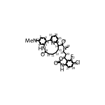 CNc1ccc2c(c1)NC(=O)CCCCC(C(=O)N(C)CCC1OC(=O)Nc3ccc(Cl)c(F)c31)c1cccc-2n1